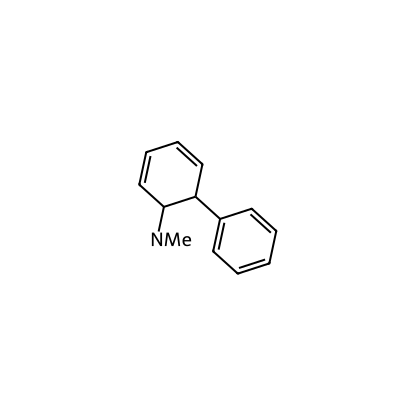 CNC1C=CC=CC1c1ccccc1